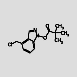 CC(C)(C)C(=O)On1ncc2c(CCl)cccc21